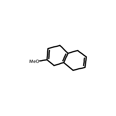 COC1=CCC2=C(CC=CC2)C1